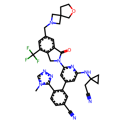 Cn1cnnc1-c1ccc(C#N)cc1-c1cc(NC2(CC#N)CC2)nc(N2Cc3c(cc(CN4CC5(CCOC5)C4)cc3C(F)(F)F)C2=O)c1